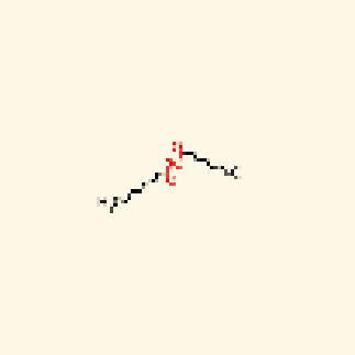 CCCCCC=CC(=O)OOC(=O)C=CCCCCC